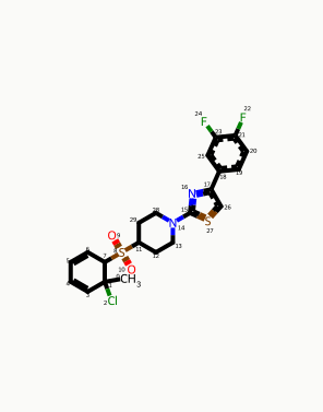 CC1(Cl)C=CC=CC1S(=O)(=O)C1CCN(c2nc(-c3ccc(F)c(F)c3)cs2)CC1